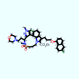 CCOC(=O)c1c(CCCOc2cccc3cc(F)ccc23)c2ccc(Cl)c3c2n1CCCS(=O)(=O)N(C)C(CCN1CCOCC1)c1nn(C)c(C)c1-3